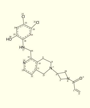 C=CC(=O)N1CC(N2CCc3c(ccnc3CNc3cc(Cl)c(Cl)cc3O)C2)C1